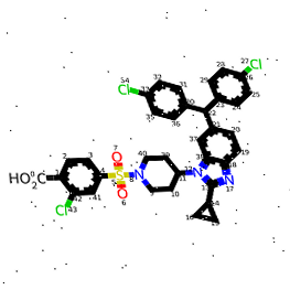 O=C(O)c1ccc(S(=O)(=O)N2CCC(n3c(C4CC4)nc4ccc(C(c5ccc(Cl)cc5)c5ccc(Cl)cc5)cc43)CC2)cc1Cl